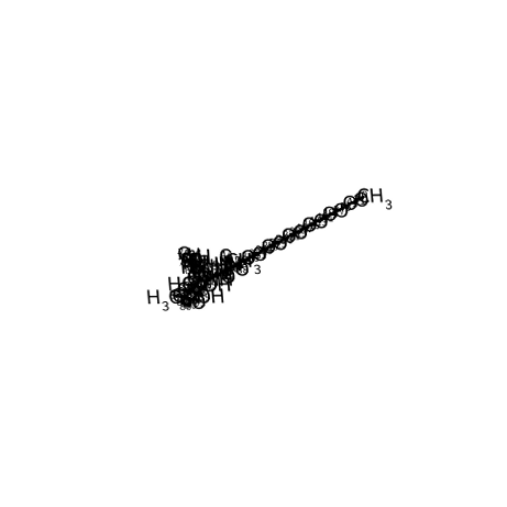 COCCOCCOCCOCCOCCOCCOCCOCCOCCOCCOCCOCCC(=O)NC[C@H](NC(C)C)C(=O)NCCNC(=O)[C@]1(O)Cc2c(O)c3c(c(O)c2[C@@H](O[C@H]2C[C@H]4[C@H](O[C@@H]5COCCN54)[C@H](C)O2)C1)C(=O)c1c(OC)cccc1C3=O